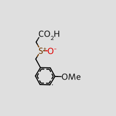 COc1[c]ccc(C[S+]([O-])CC(=O)O)c1